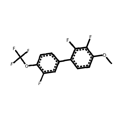 COc1ccc(-c2ccc(OC(F)(F)F)c(F)c2)c(F)c1F